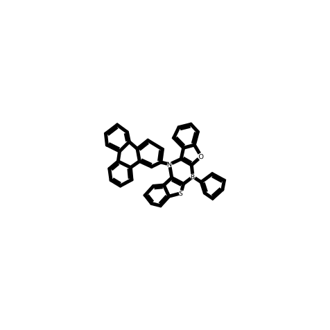 c1ccc(B2c3oc4ccccc4c3N(c3ccc4c5ccccc5c5ccccc5c4c3)c3c2sc2ccccc32)cc1